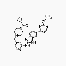 CCOc1nccc(-c2ccc3nc(Nc4cc(CN5CCN(C(=O)C6CCC6)CC5)ccn4)[nH]c3c2)n1